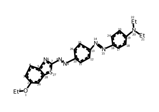 CCOc1ccc2nc(N=Nc3ccc(N=Nc4ccc(N(CC)CC)cc4)cc3)sc2c1